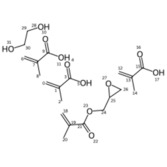 C=C(C)C(=O)O.C=C(C)C(=O)O.C=C(C)C(=O)O.C=C(C)C(=O)OCC1CO1.OCCO